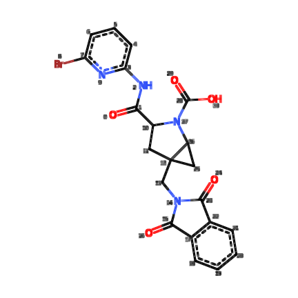 O=C(Nc1cccc(Br)n1)C1CC2(CN3C(=O)c4ccccc4C3=O)CC2N1C(=O)O